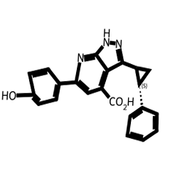 O=C(O)c1cc(-c2ccc(O)cc2)nc2[nH]nc(C3C[C@@H]3c3ccccc3)c12